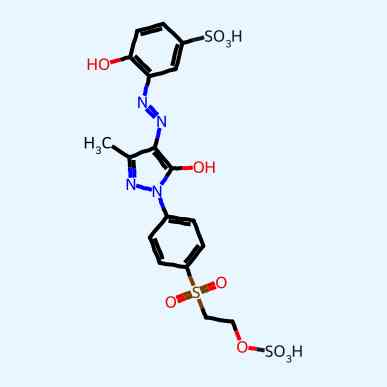 Cc1nn(-c2ccc(S(=O)(=O)CCOS(=O)(=O)O)cc2)c(O)c1/N=N/c1cc(S(=O)(=O)O)ccc1O